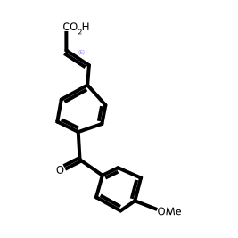 COc1ccc(C(=O)c2ccc(/C=C/C(=O)O)cc2)cc1